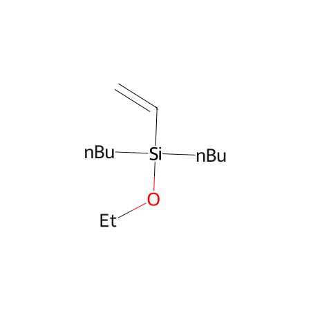 C=C[Si](CCCC)(CCCC)OCC